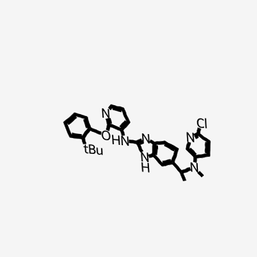 CC(c1ccc2nc(Nc3cccnc3Oc3ccccc3C(C)(C)C)[nH]c2c1)N(C)c1ccc(Cl)nc1